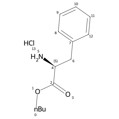 CCCCOC(=O)[C@@H](N)Cc1ccccc1.Cl